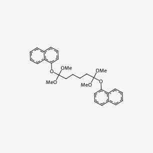 COC(CCCCC(OC)(OC)Oc1cccc2ccccc12)(OC)Oc1cccc2ccccc12